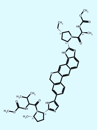 CC[C@H]1C[C@@H](c2nc3ccc4cc5c(cc4c3[nH]2)OCc2cc(-c3cnc([C@@H]4CC[C@H](C)N4C(=O)C(NC(=O)OC)C(C)C)[nH]3)ccc2-5)N(C(=O)[C@H](C)NC(=O)OC)C1